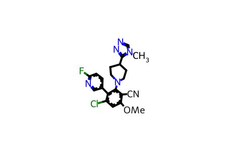 COc1cc(Cl)c(-c2ccc(F)nc2)c(N2CCC(c3nncn3C)CC2)c1C#N